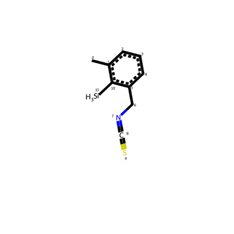 Cc1cccc(CN=C=S)c1[SiH3]